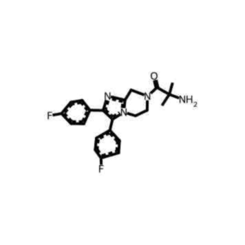 CC(C)(N)C(=O)N1CCn2c(nc(-c3ccc(F)cc3)c2-c2ccc(F)cc2)C1